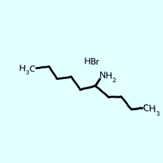 Br.CCCCCC(N)CCCC